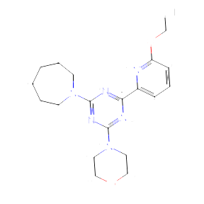 CCOc1cccc(-c2nc(N3CCCCCC3)nc(N3CCOCC3)n2)n1